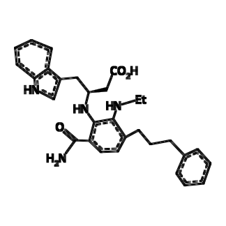 CCNc1c(CCCc2ccccc2)ccc(C(N)=O)c1N[C@H](CC(=O)O)Cc1c[nH]c2ccccc12